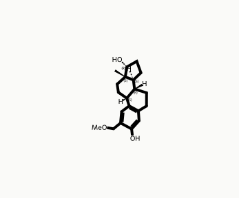 COCc1cc2c(cc1O)CC[C@@H]1[C@@H]2CC[C@]2(C)[C@H](O)CC[C@@H]12